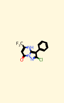 O=c1cc(C(F)(F)F)[nH]c2c(-c3ccccc3)c(Cl)nn12